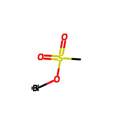 CS(=O)(=O)[O][Bi]